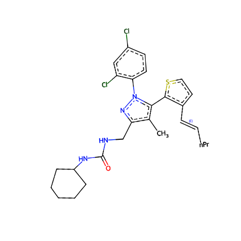 CCC/C=C/c1ccsc1-c1c(C)c(CNC(=O)NC2CCCCC2)nn1-c1ccc(Cl)cc1Cl